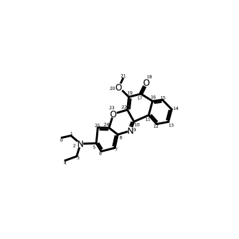 CCN(CC)c1ccc2nc3c4ccccc4c(=O)c(OC)c-3oc2c1